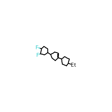 CCC1CCC(C2=CCC(C3CCC(F)C(F)C3)CC2)CC1